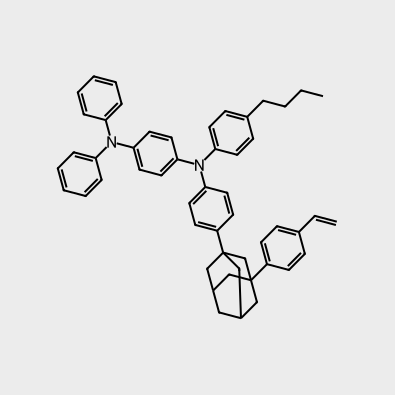 C=Cc1ccc(C23CC4CC(C2)CC(c2ccc(N(c5ccc(CCCC)cc5)c5ccc(N(c6ccccc6)c6ccccc6)cc5)cc2)(C4)C3)cc1